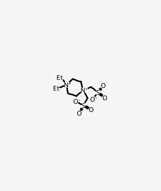 CC[N+]1(CC)CC[N+](CS(=O)(=O)[O-])(CS(=O)(=O)[O-])CC1